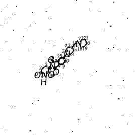 O=C1CCC(N2C(=O)c3ccc(N4CCC(CN5CCCCC5)CC4)cc3C2=O)C(=O)N1